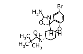 CC(C)(C)C(=O)N[C@H]1CC[C@H]2Oc3ccc(Br)cc3[C@@]3(COC(N)=N3)[C@@H]2C1